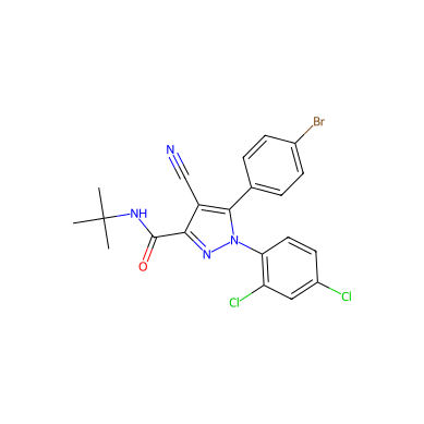 CC(C)(C)NC(=O)c1nn(-c2ccc(Cl)cc2Cl)c(-c2ccc(Br)cc2)c1C#N